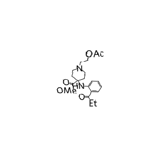 CCC(=O)c1ccccc1NC1(C(=O)OC)CCN(CCOC(C)=O)CC1